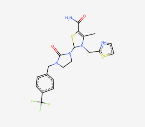 CC1=C(C(N)=O)SC(N2CCN(Cc3ccc(C(F)(F)F)cc3)C2=O)N1Cc1nccs1